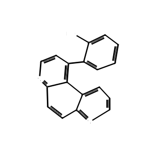 Oc1ccccc1-c1ccnc2ccc3ncccc3c12